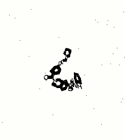 O=C(c1ccc(OCCCN2CCCCC2)cc1)N1CCc2ccc(S(=O)(=O)Nc3ccccc3)cc2C1